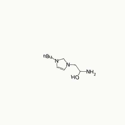 CCCCN1C=CN(CC(N)O)C1